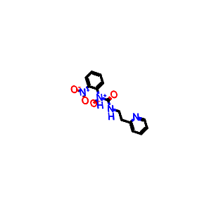 O=C(NCCc1ccccn1)[NH+]([O-])c1ccccc1[N+](=O)[O-]